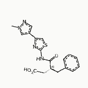 Cn1cc(-c2csc(NC(=O)[C@@H](CC(=O)O)Cc3ccccc3)n2)cn1